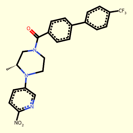 C[C@@H]1CN(C(=O)c2ccc(-c3ccc(C(F)(F)F)cc3)cc2)CCN1c1ccc([N+](=O)[O-])nc1